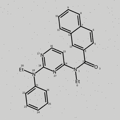 CCN(C(=O)c1ccc2ccccc2c1)c1ccnc(N(CC)c2ccccc2)n1